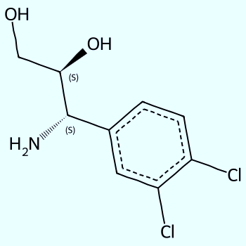 N[C@@H](c1ccc(Cl)c(Cl)c1)[C@H](O)CO